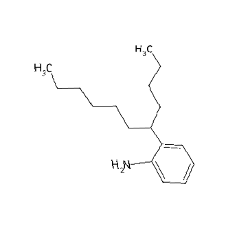 CCCCCCC(CCCC)c1ccccc1N